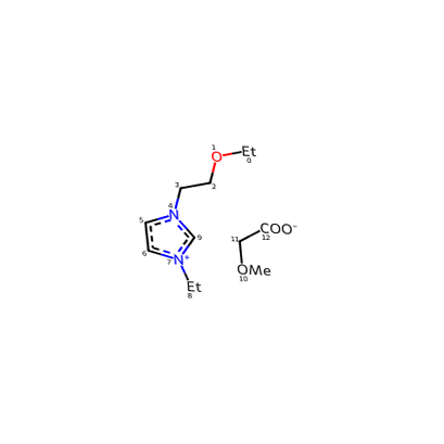 CCOCCn1cc[n+](CC)c1.COCC(=O)[O-]